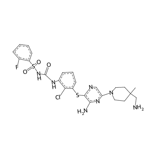 CC1(CN)CCN(c2cnc(Sc3cccc(NC(=O)NS(=O)(=O)c4ccccc4F)c3Cl)c(N)n2)CC1